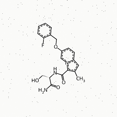 Cc1cc2ccc(OCc3ccccc3F)cn2c1C(=O)N[C@@H](CO)C(N)=O